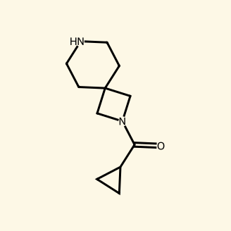 O=C(C1CC1)N1CC2(CCNCC2)C1